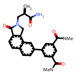 C=C(CN1Cc2c(ccc3ccc(-c4cc(C(=O)NC)cc(C(=O)NC)c4)cc23)C1=O)C(N)=O